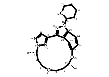 C[C@@H]1CCOCC[C@H](C)n2ncc(n2)-c2nn(C3CCCCO3)c3ccc(cc23)O1